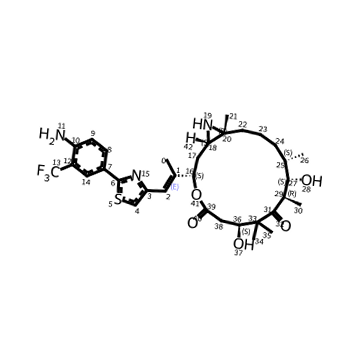 C/C(=C\c1csc(-c2ccc(N)c(C(F)(F)F)c2)n1)[C@@H]1C[C@@H]2N[C@]2(C)CCC[C@H](C)[C@H](O)[C@@H](C)C(=O)C(C)(C)[C@@H](O)CC(=O)O1